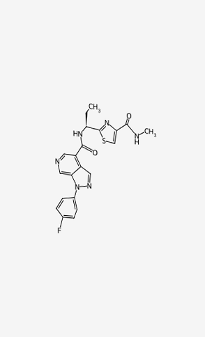 CC[C@H](NC(=O)c1cncc2c1cnn2-c1ccc(F)cc1)c1nc(C(=O)NC)cs1